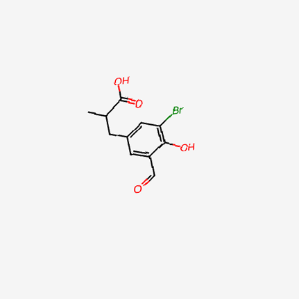 CC(Cc1cc(Br)c(O)c(C=O)c1)C(=O)O